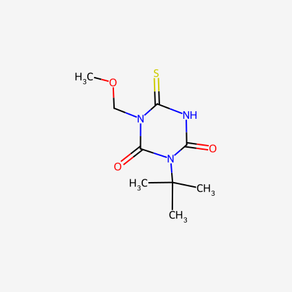 COCn1c(=S)[nH]c(=O)n(C(C)(C)C)c1=O